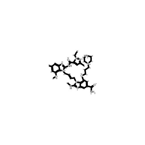 CBc1nc2cc(C(N)=O)cc(OCCCN3CCNCC3)c2n1C/C=C/Cn1c(NC(=O)c2cc(C)nn2CC)nc2cc(C)cc(OC)c21